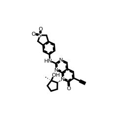 C#Cc1cc2cnc(Nc3ccc4c(c3)CS(=O)(=O)C4)nc2n([C@@H]2CCC[C@@]2(C)O)c1=O